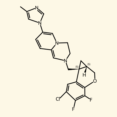 Cc1cn(C2=CN3CCN(C[C@@]45C[C@@H]4COc4c5cc(Cl)c(F)c4F)C=C3C=C2)cn1